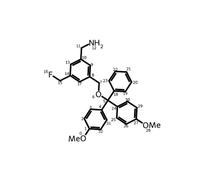 COc1ccc(C(OCc2cc(CN)cc(CF)c2)(c2ccccc2)c2ccc(OC)cc2)cc1